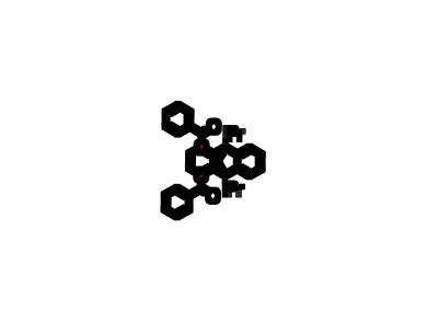 CC(C)[C@]12c3ccccc3[C@](C(C)C)(c3ccccc31)C(OC(=O)c1ccccc1)C2OC(=O)c1ccccc1